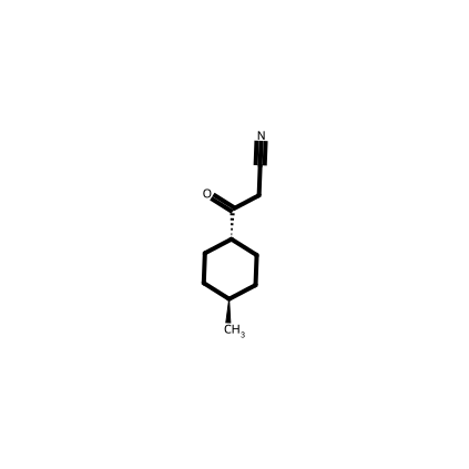 C[C@H]1CC[C@H](C(=O)CC#N)CC1